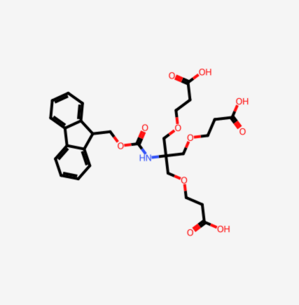 O=C(O)CCOCC(COCCC(=O)O)(COCCC(=O)O)NC(=O)OCC1c2ccccc2-c2ccccc21